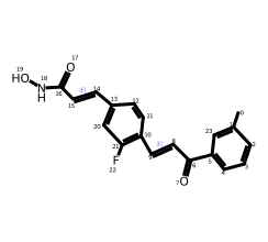 Cc1cccc(C(=O)/C=C/c2ccc(/C=C/C(=O)NO)cc2F)c1